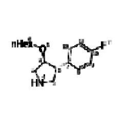 CCCCCCO[C@@H]1CNC[C@H]1c1ccc(F)cc1